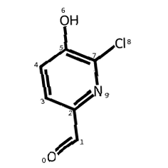 O=Cc1ccc(O)c(Cl)n1